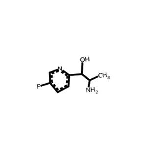 CC(N)C(O)c1ccc(F)cn1